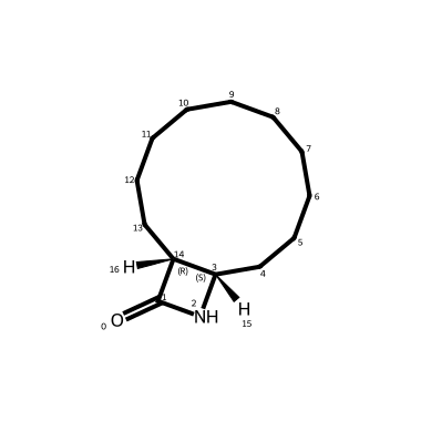 O=C1N[C@H]2CCCCCCCCCC[C@@H]12